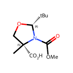 COC(=O)N1[C@@H](C(C)(C)C)OC[C@@]1(C)C(=O)O